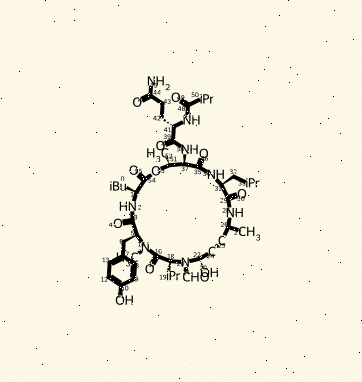 CCC(C)[C@@H]1NC(=O)[C@H](Cc2ccc(O)cc2)N(C)C(=O)[C@H](C(C)C)N(C=O)[C@@H](O)CCC(C)NC(=O)[C@H](CC(C)C)NC(=O)[C@H](NC(=O)[C@H](CCC(N)=O)NC(=O)C(C)C)[C@@H](C)OC1=O